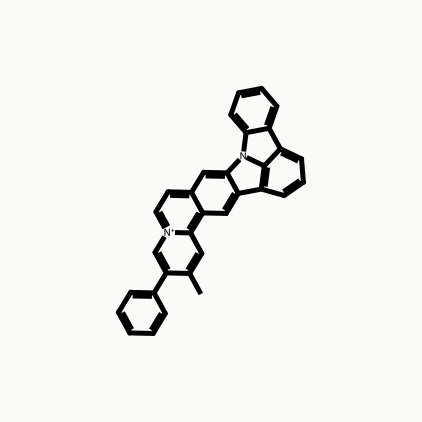 Cc1cc2c3cc4c5cccc6c7ccccc7n(c4cc3cc[n+]2cc1-c1ccccc1)c65